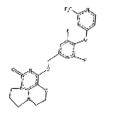 O=c1nc(OCc2cc(F)c(Oc3ccnc(C(F)(F)F)c3)c(F)c2)c2c3n1CCCN3CCO2